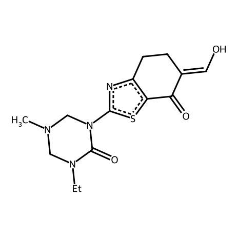 CCN1CN(C)CN(c2nc3c(s2)C(=O)C(=CO)CC3)C1=O